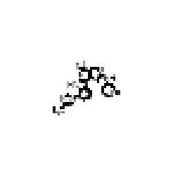 Cc1cn(-c2cccc3c(-c4nc(N[C@H]5CCCNC5)ncc4C(F)(F)F)c[nH]c23)cn1